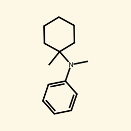 CN(c1ccccc1)C1(C)CCCCC1